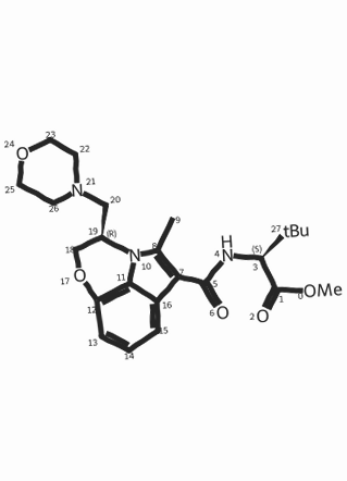 COC(=O)[C@@H](NC(=O)c1c(C)n2c3c(cccc13)OC[C@H]2CN1CCOCC1)C(C)(C)C